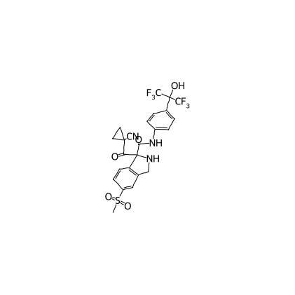 CS(=O)(=O)c1ccc2c(c1)CNC2(C(=O)Nc1ccc(C(O)(C(F)(F)F)C(F)(F)F)cc1)C(=O)C1(C#N)CC1